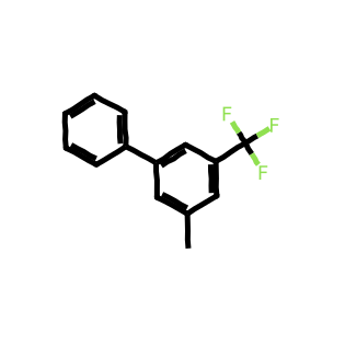 Cc1cc(-c2ccccc2)cc(C(F)(F)F)c1